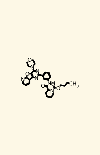 CCCCOC(=O)N1CCCCC1C(=O)Nc1cccc(-c2nc3c(c(N4CCOCC4)n2)OC2N=CC=CC32)c1